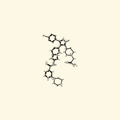 Cn1nc(-c2ccc(F)cc2)c(-c2ccc3nc(NC(=O)c4ccnc(N5CCOCC5)c4)cn3n2)c1C1CCN(CC(N)=O)CC1